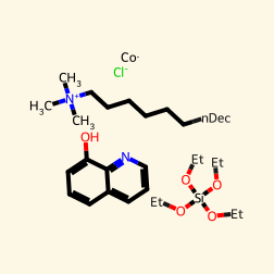 CCCCCCCCCCCCCCCC[N+](C)(C)C.CCO[Si](OCC)(OCC)OCC.Oc1cccc2cccnc12.[Cl-].[Co]